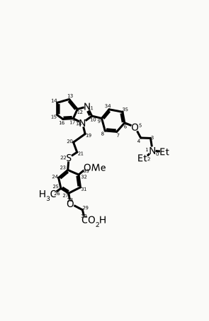 CCN(CC)CCOc1ccc(-c2nc3ccccc3n2CCCSc2cc(C)c(OCC(=O)O)cc2OC)cc1